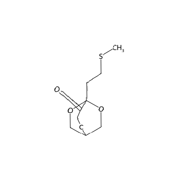 CSCCC12OCC(CCC1=O)CO2